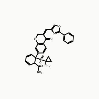 CC1(S(=O)(=O)C2(c3ccc4c(c3)OC/C(=C/c3coc(-c5ccccc5)n3)C4=O)C=CC=CC2C(N)=O)CC1